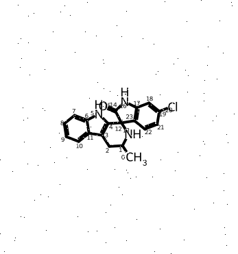 CC1Cc2c([nH]c3ccccc23)C2(N1)C(=O)Nc1cc(Cl)ccc12